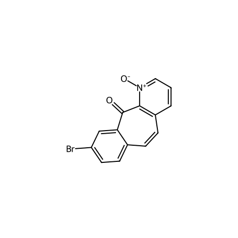 O=c1c2cc(Br)ccc2ccc2ccc[n+]([O-])c12